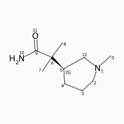 CN1CCC[C@@H](C(C)(C)C(N)=O)C1